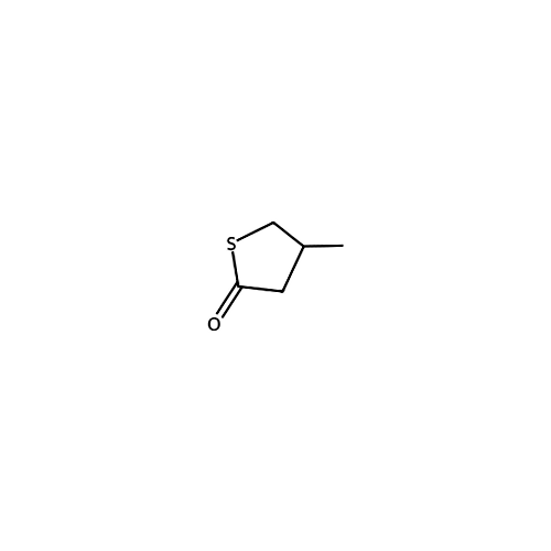 CC1CSC(=O)C1